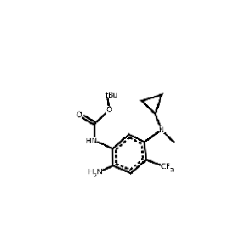 CN(c1cc(NC(=O)OC(C)(C)C)c(N)cc1C(F)(F)F)C1CC1